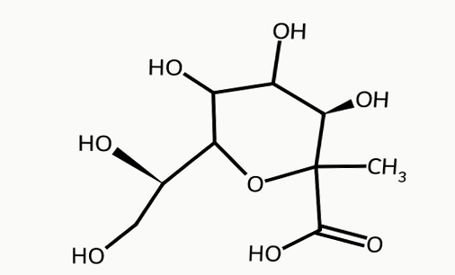 CC1(C(=O)O)OC([C@H](O)CO)C(O)C(O)[C@H]1O